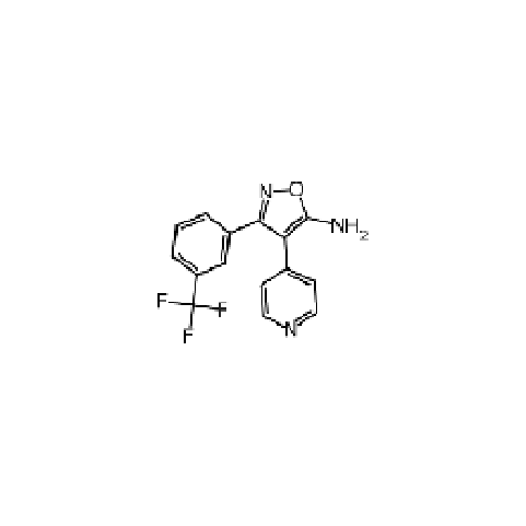 Nc1onc(-c2cccc(C(F)(F)F)c2)c1-c1ccncc1